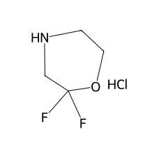 Cl.FC1(F)CNCCO1